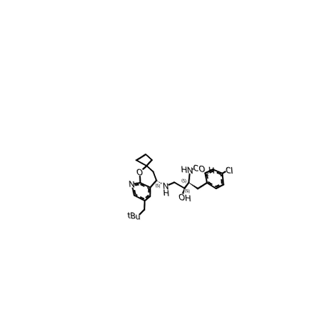 CC(C)(C)Cc1cnc2c(c1)[C@@H](NC[C@H](O)[C@H](Cc1ccc(Cl)cc1)NC(=O)O)CC1(CCC1)O2